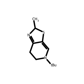 CC1N=C2CCN(C(C)(C)C)C=C2S1